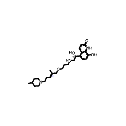 C/C(=C\CCN1CCC(C)CC1)COCCCNC[C@@H](O)c1ccc(O)c2[nH]c(=O)ccc12